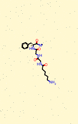 C=NC(=O)[C@H](Cc1ccccc1)NC(=O)CNC(=O)CNC(=O)CCCCCN